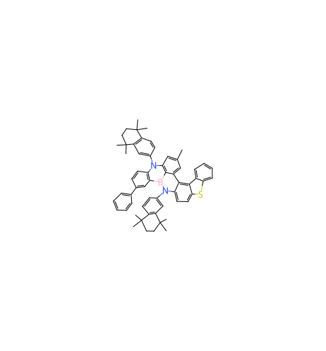 Cc1cc2c3c(c1)N(c1ccc4c(c1)C(C)(C)CCC4(C)C)c1ccc(-c4ccccc4)cc1B3N(c1ccc3c(c1)C(C)(C)CCC3(C)C)c1ccc3sc4ccccc4c3c1-2